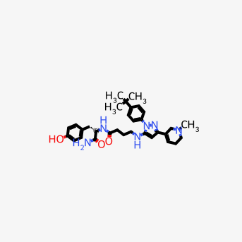 CN1CCC=C(c2cc(NCCCC(=O)N[C@@H](Cc3ccc(O)cc3)C(N)=O)n(-c3ccc(C(C)(C)C)cc3)n2)C1